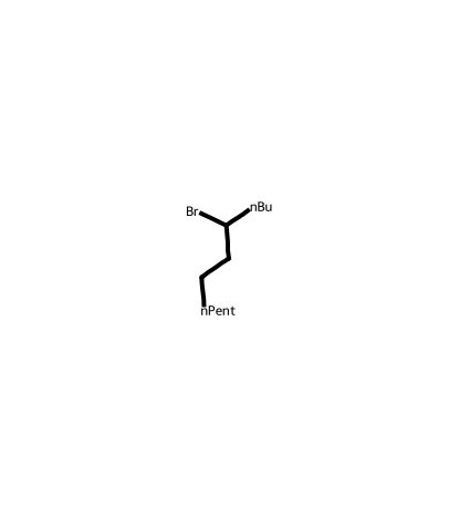 CCCCCCCC(Br)CCCC